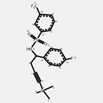 C[Si](C)(C)C#CCC(NS(=O)(=O)c1cccc(C(F)(F)F)c1)c1ccc(F)cc1